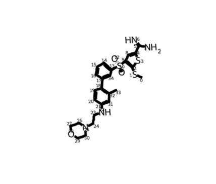 CSc1sc(C(=N)N)cc1S(=O)(=O)c1cccc(-c2ccc(NCCN3CCOCC3)cc2C)c1